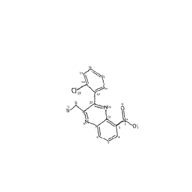 O=[N+]([O-])c1cccc2nc(CBr)c(-c3ccccc3Cl)nc12